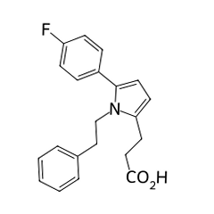 O=C(O)CCc1ccc(-c2ccc(F)cc2)n1CCc1ccccc1